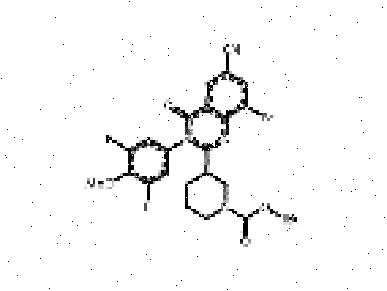 COc1c(F)cc(-n2c(C3CCCN(C(=O)OC(C)(C)C)C3)nc3c(Br)cc(C#N)cc3c2=O)cc1F